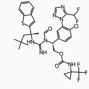 CC(C)(C)C[C@@](C)(NC(=N)N(C=O)[C@H](COC(=O)NC1(C(F)(F)F)CC1)c1ccc(Cl)c(-n2ncnc2C(F)F)c1)c1cc2ccccc2s1